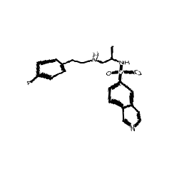 CC(CNCCc1ccc(F)cc1)NS(=O)(=O)c1ccc2cnccc2c1